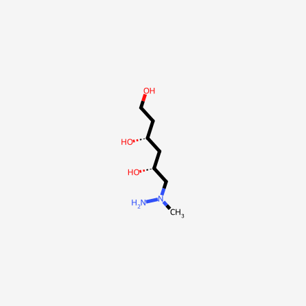 CN(N)C[C@H](O)C[C@H](O)CCO